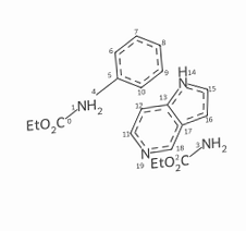 CCOC(N)=O.CCOC(N)=O.Cc1ccccc1.c1cc2[nH]ccc2cn1